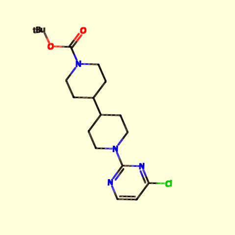 CC(C)(C)OC(=O)N1CCC(C2CCN(c3nccc(Cl)n3)CC2)CC1